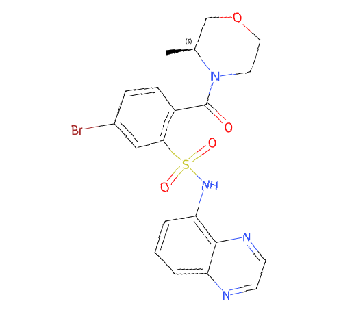 C[C@H]1COCCN1C(=O)c1ccc(Br)cc1S(=O)(=O)Nc1cccc2nccnc12